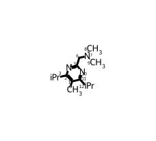 Cc1c(C(C)C)nc(CN(C)C)nc1C(C)C